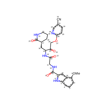 COc1cccc2[nH]c(C(=O)NCC(=O)NC(C[C@@H]3CCCNC3=O)C(=O)COc3ccc(C#N)cn3)cc12